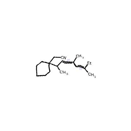 CC/C(C)=C\C(C)=C/C(C)C1(CC#N)CCCCC1